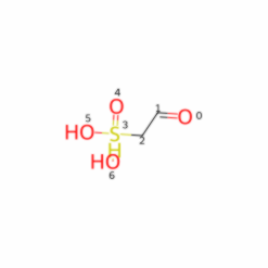 O=CC[SH](=O)(O)O